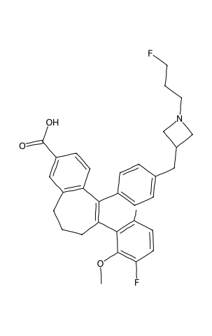 COc1c(F)ccc(C)c1C1=C(c2ccc(CC3CN(CCCF)C3)cc2)c2ccc(C(=O)O)cc2CCC1